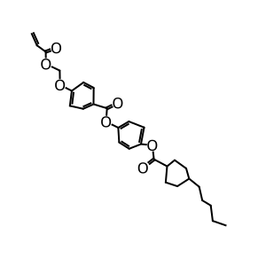 C=CC(=O)OCOc1ccc(C(=O)Oc2ccc(OC(=O)C3CCC(CCCCC)CC3)cc2)cc1